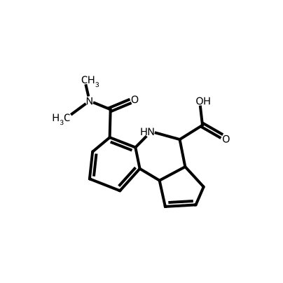 CN(C)C(=O)c1cccc2c1NC(C(=O)O)C1CC=CC21